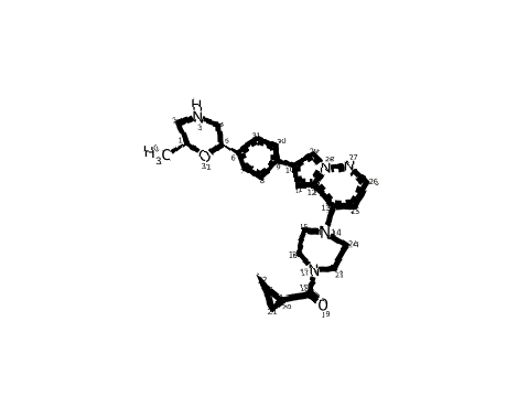 C[C@H]1CNC[C@@H](c2ccc(-c3cc4c(N5CCN(C(=O)C6CC6)CC5)ccnn4c3)cc2)O1